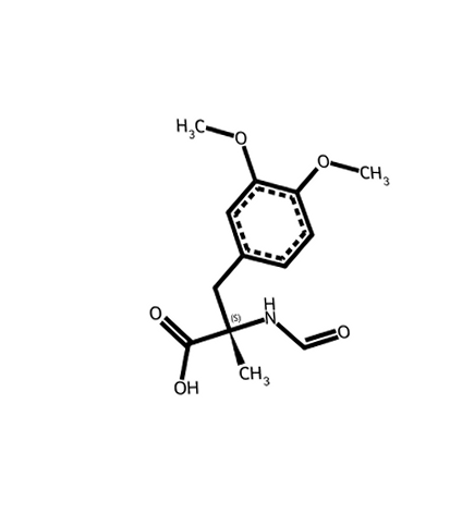 COc1ccc(C[C@](C)(NC=O)C(=O)O)cc1OC